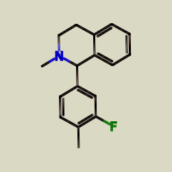 Cc1ccc(C2c3ccccc3CCN2C)cc1F